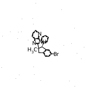 C[C@@]1(c2nc3cccnc3[nH]2)Cc2ccc(Br)cc2[C@@H]1c1ccccc1